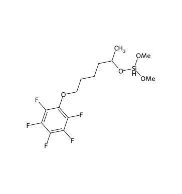 CO[SiH](OC)OC(C)CCCCOc1c(F)c(F)c(F)c(F)c1F